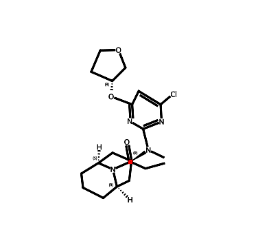 CCC(=O)N1[C@@H]2CCC[C@H]1C[C@@H](N(C)c1nc(Cl)cc(O[C@@H]3CCOC3)n1)C2